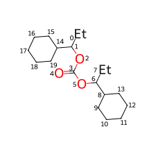 CCC(OC(=O)OC(CC)C1CCCCC1)C1CCCCC1